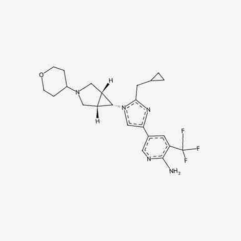 Nc1ncc(-c2cn([C@@H]3[C@@H]4CN(C5CCOCC5)C[C@@H]43)c(CC3CC3)n2)cc1C(F)(F)F